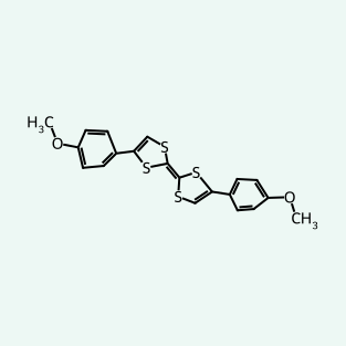 COc1ccc(C2=CS/C(=C3/SC=C(c4ccc(OC)cc4)S3)S2)cc1